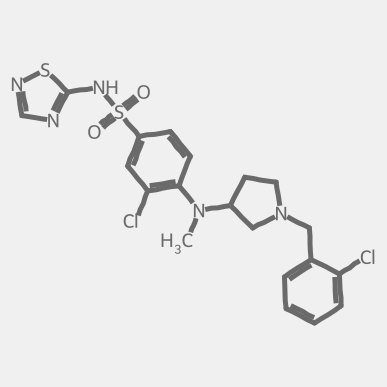 CN(c1ccc(S(=O)(=O)Nc2ncns2)cc1Cl)C1CCN(Cc2ccccc2Cl)C1